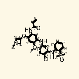 C=CC(=O)Nc1cc(Nc2ncc(Cl)c(Nc3ccccc3P(C)(C)=O)n2)c(OC)cc1OC1CN(C)C1